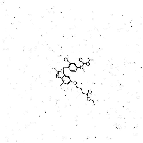 CCOC(=O)CCCOc1cc(C)c2nc(C)n(Cc3ccc(N(C)C(=O)OCC)cc3Cl)c2c1